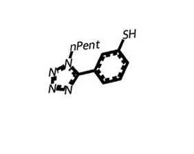 CCCCCn1nnnc1-c1cccc(S)c1